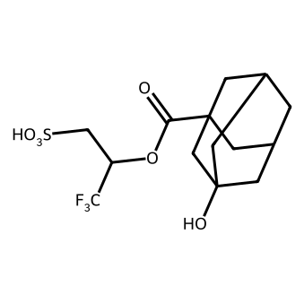 O=C(OC(CS(=O)(=O)O)C(F)(F)F)C12CC3CC(CC(O)(C3)C1)C2